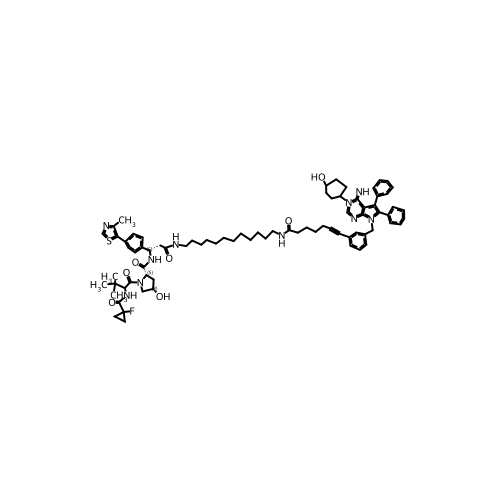 Cc1ncsc1-c1ccc([C@H](CC(=O)NCCCCCCCCCCCCNC(=O)CCCCC#Cc2cccc(Cn3c(-c4ccccc4)c(-c4ccccc4)c4c(=N)n(C5CCC(O)CC5)cnc43)c2)NC(=O)[C@@H]2C[C@@H](O)CN2C(=O)C(NC(=O)C2(F)CC2)C(C)(C)C)cc1